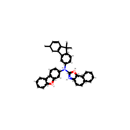 CC1C=CC2=C(C1)c1cc(N(c3ccc4c(c3)oc3ccccc34)c3nc4ccc5ccccc5c4o3)ccc1C2(C)C